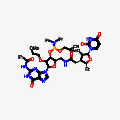 CC[C@H]1O[C@@H](n2ccc(=O)[nH]c2=O)C(OC)[C@H]1CC(=O)NC[C@H]1O[C@@H](n2cnc3c(=O)[nH]c(NC(=O)C(C)C)nc32)C(OCCOC)[C@H]1OP(OCCC#N)N(C(C)C)C(C)C